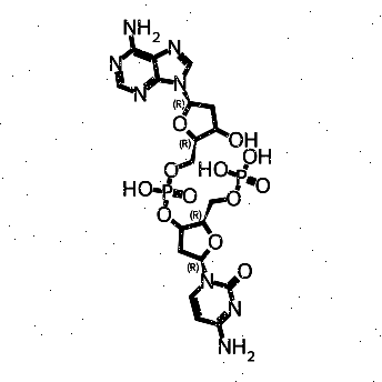 Nc1ccn([C@H]2CC(OP(=O)(O)OC[C@H]3O[C@@H](n4cnc5c(N)ncnc54)CC3O)[C@@H](COP(=O)(O)O)O2)c(=O)n1